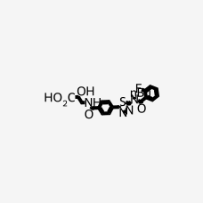 CCCCN(C(=O)c1ccccc1F)c1nnc(-c2ccc(C(=O)NCC(O)C(=O)O)cc2)s1